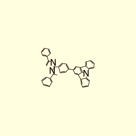 C=C(/N=C(\N=C(/C)c1ccccc1)c1ccc(-c2cc3c4ccccc4n4c5ccccc5c(c2)c34)cc1)c1ccccc1